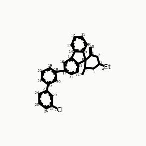 C=C1CC(CC)CC(C)C12c1ccccc1-c1cc(-c3cccc(-c4cccc(Cl)c4)c3)ccc12